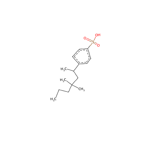 CCCC(C)(C)CC(C)c1ccc(S(=O)(=O)O)cc1